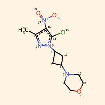 Cc1nn(C2CC(N3CCOCC3)C2)c(Cl)c1[N+](=O)[O-]